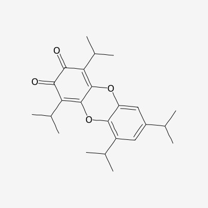 CC(C)c1cc(C(C)C)c2oc3c(C(C)C)c(=O)c(=O)c(C(C)C)c-3oc2c1